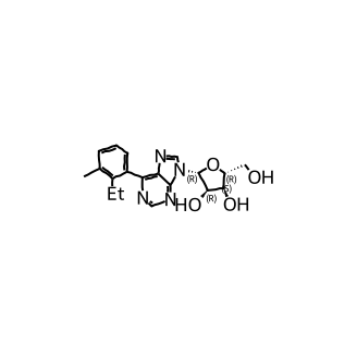 CCc1c(C)cccc1-c1ncnc2c1ncn2[C@@H]1O[C@H](CO)[C@@H](O)[C@H]1O